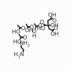 CC(=O)O.CC(=O)O.CC(=O)O.CC(=O)O.NCCN.O=C(O)CC(O)(CC(=O)O)C(=O)O